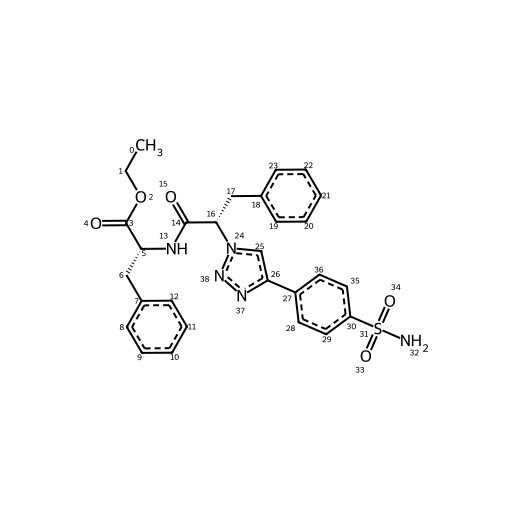 CCOC(=O)[C@@H](Cc1ccccc1)NC(=O)[C@H](Cc1ccccc1)n1cc(-c2ccc(S(N)(=O)=O)cc2)nn1